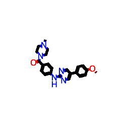 COc1ccc(-c2cnc(Nc3ccc(C(=O)N4CCN(C)CC4)cc3)nc2)cc1